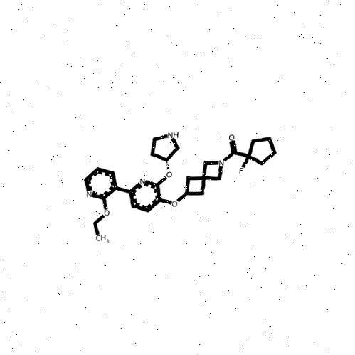 CCOc1ncccc1-c1ccc(OC2CC3(C2)CN(C(=O)C2(F)CCCC2)C3)c(O[C@@H]2CCNC2)n1